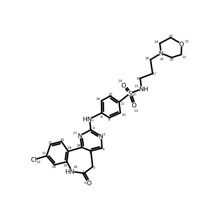 O=C1Cc2cnc(Nc3ccc(S(=O)(=O)NCCCN4CCOCC4)cc3)nc2-c2ccc(Cl)cc2N1